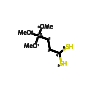 CO[Si](CCC(S)S)(OC)OC